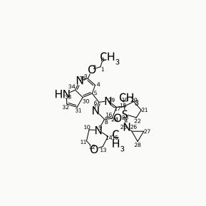 CCOc1cc(-c2nc(N3CCOC[C@H]3C)cc([C@@]3(C)CCCS3(=O)=NC3CC3)n2)c2cc[nH]c2n1